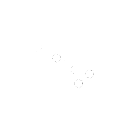 COC(=O)CCc1ccc(OCC(=O)N2CCc3cc(OC)c(OC)cc3C2Cc2ccc(OC)c(OC)c2)cc1